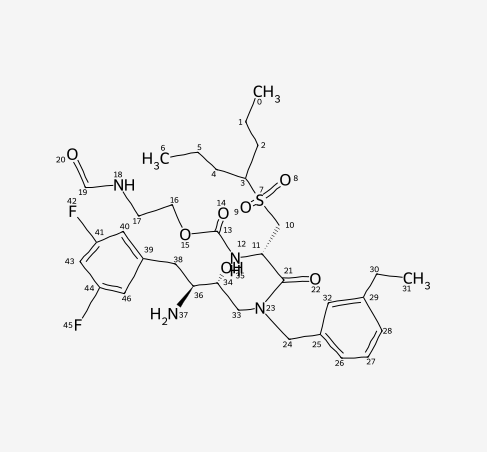 CCCC(CCC)S(=O)(=O)C[C@@H](NC(=O)OCCNC=O)C(=O)N(Cc1cccc(CC)c1)C[C@@H](O)[C@@H](N)Cc1cc(F)cc(F)c1